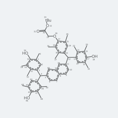 Cc1cc(C(c2ccc3ccc(C(c4cc(C)c(O)c(C)c4C)c4cc(C)c(OCC(=O)OC(C)(C)C)c(C)c4C)cc3c2)c2cc(C)c(O)c(C)c2C)c(C)c(C)c1O